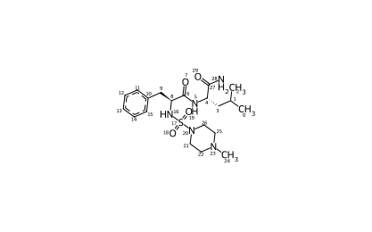 CC(C)C[C@H](NC(=O)[C@H](Cc1ccccc1)NS(=O)(=O)N1CCN(C)CC1)C(N)=O